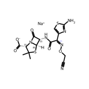 CC1(C)S[C@@H]2[C@@H](NC(=O)/C(=N\OCC#N)c3csc(N)n3)C(=O)N2[C@H]1C(=O)[O-].[Na+]